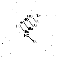 CCC(C)O.CCC(C)O.CCC(C)O.CCC(C)O.CCC(C)O.[Ta]